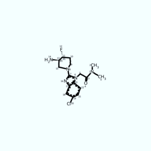 CN(C)C(=O)Cn1c(N2CC[C@@H](F)[C@H](N)C2)nc2cc(Cl)ccc21